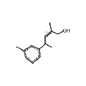 C/C(=C/C(C)c1cccc(C)c1)CO